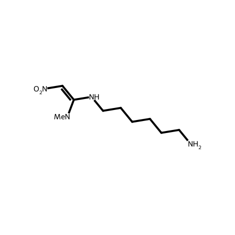 CN/C(=C\[N+](=O)[O-])NCCCCCCN